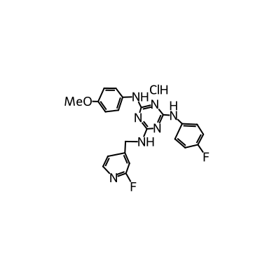 COc1ccc(Nc2nc(NCc3ccnc(F)c3)nc(Nc3ccc(F)cc3)n2)cc1.Cl